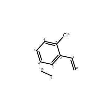 C=Cc1ccccc1Cl.CC